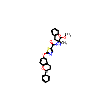 COC(=O)C(C)(Cc1ccccc1)NC(=O)c1cnc(Oc2ccc3c(c2)CC[C@@H](c2ccccc2)O3)s1